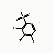 O=S(=O)([O-])c1ccc(Cl)c(Cl)c1Cl.[K+]